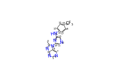 Cc1nc2ncncc2n1-c1cncc(Nc2ccc(C(F)(F)F)cc2)n1